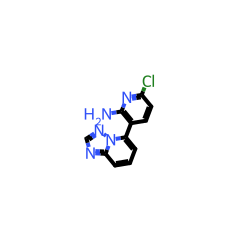 Nc1nc(Cl)ccc1-c1cccc2ncnn12